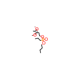 CCCCOP(=O)(CCC)OCC[Si](C)(OC)OC